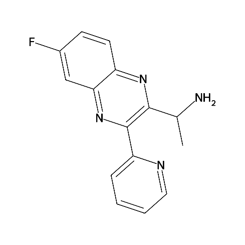 CC(N)c1nc2ccc(F)cc2nc1-c1ccccn1